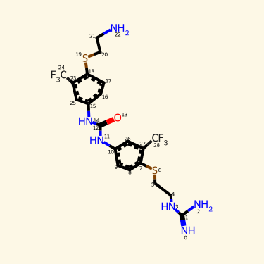 N=C(N)NCCSc1ccc(NC(=O)Nc2ccc(SCCN)c(C(F)(F)F)c2)cc1C(F)(F)F